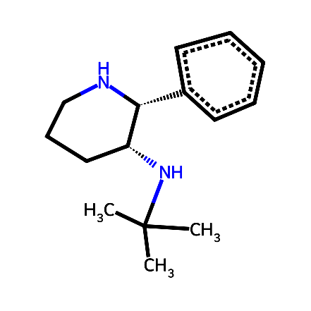 CC(C)(C)N[C@@H]1CCCN[C@@H]1c1ccccc1